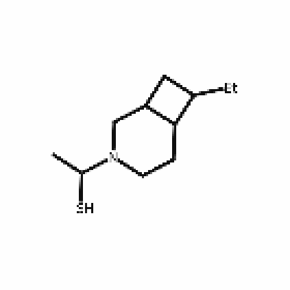 CCC1CC2CN(C(C)S)CCC12